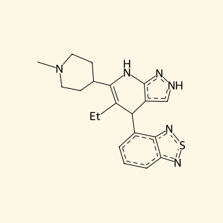 CCC1=C(C2CCN(C)CC2)Nc2n[nH]cc2C1c1cccc2nsnc12